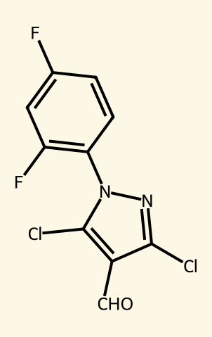 O=Cc1c(Cl)nn(-c2ccc(F)cc2F)c1Cl